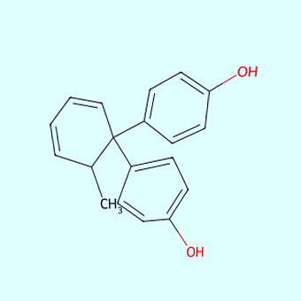 CC1C=CC=CC1(c1ccc(O)cc1)c1ccc(O)cc1